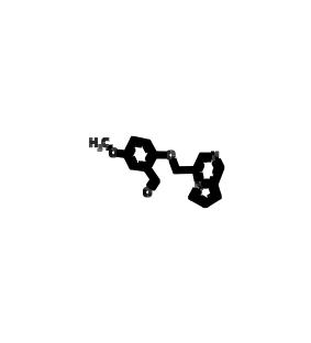 COc1ccc(OCc2cncc3cccn23)c(C=O)c1